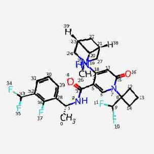 C[C@@H](NC(=O)c1cn(C2(C(F)F)CCC2)c(=O)cc1N[C@@H]1[C@@H]2C[C@H]1CN(C)C2)c1cccc(C(F)F)c1F